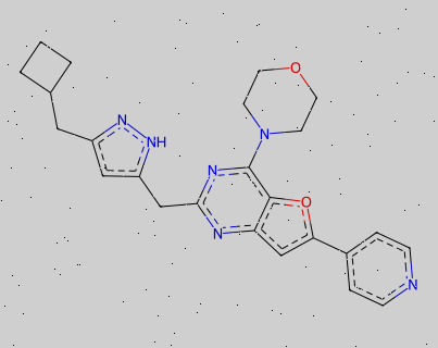 c1cc(-c2cc3nc(Cc4cc(CC5CCC5)n[nH]4)nc(N4CCOCC4)c3o2)ccn1